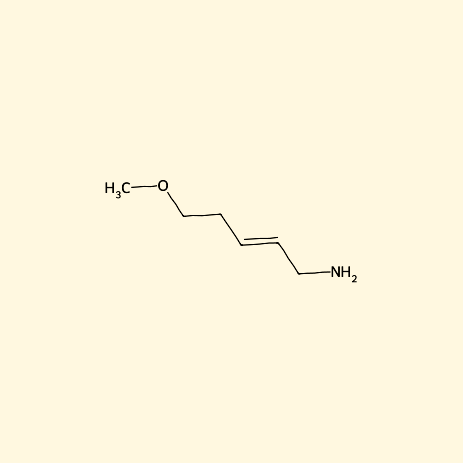 COCCC=CCN